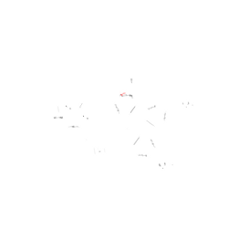 COc1ccc(C(OC2C(O[Si](C)(C)C(C)(C)C)[C@H](n3ccc(=O)[nH]c3=O)O[C@@H]2CO[PH](=O)O)(c2ccccc2)c2ccc(OC)cc2)cc1